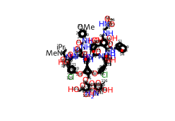 CN[C@H](CC(C)C)C(=O)N[C@H]1C(=O)N[C@@H](CC(=O)NC(=O)Nc2ccc(OC)cc2)C(=O)N[C@H]2C(=O)N[C@H]3C(=O)N[C@H](C(=O)N[C@H](C(=O)NC4C5CC6CC(C5)CC4C6)c4cc(O)c(CNCCNS(C)(=O)=O)c(O)c4-c4cc3ccc4O)[C@H](O)c3ccc(c(Cl)c3)Oc3cc2cc(c3CO[C@@H]2O[C@H](CO)[C@@H](O)[C@H](O)[C@H]2O[C@H]2C[C@](C)(N)[C@H](O)[C@H](C)O2)Oc2ccc(cc2Cl)[C@H]1O